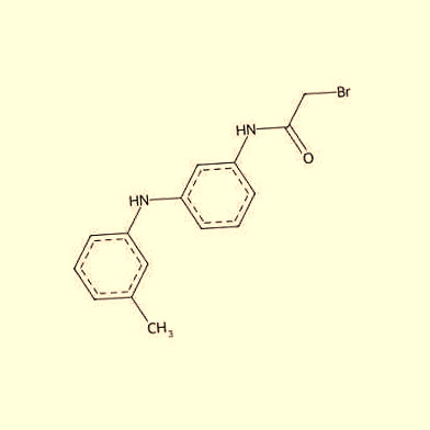 Cc1cccc(Nc2cccc(NC(=O)CBr)c2)c1